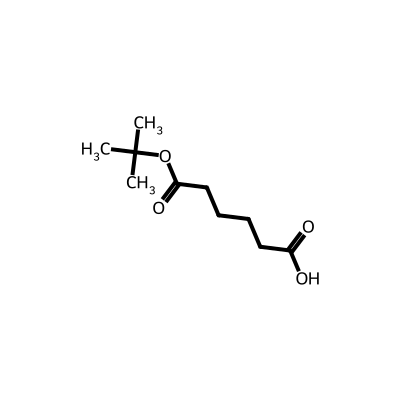 CC(C)(C)OC(=O)CCCCC(=O)O